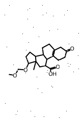 COCOC1CCC2C3CCC4=C(CCC(=O)C4)C3C(C(=O)O)CC12C